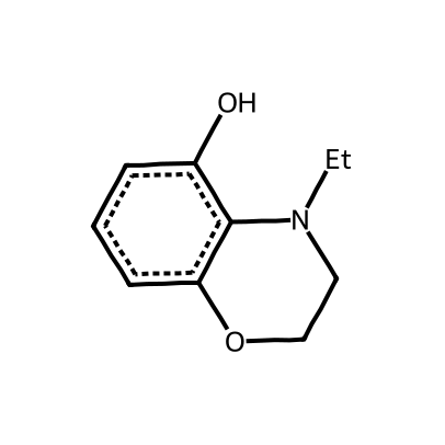 CCN1CCOc2cccc(O)c21